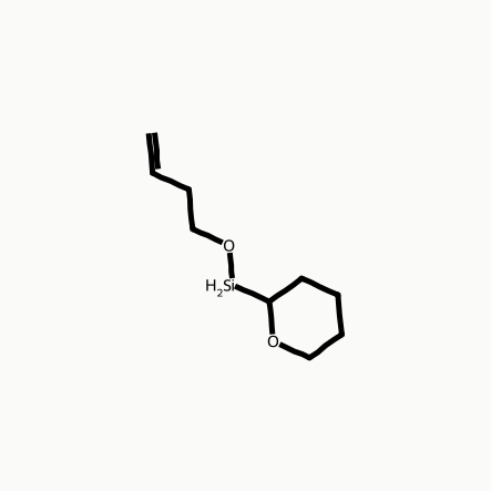 C=CCCO[SiH2]C1CCCCO1